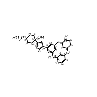 Cc1cc(Nc2cc(OC3CCNCC3)ccn2)nc(-c2cnc([C@]3(O)CC[C@H](C(=O)O)CC3)s2)c1